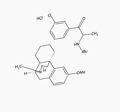 CC(NC(C)(C)C)C(=O)c1cccc(Cl)c1.COc1ccc2c(c1)[C@]13CCCC[C@@H]1[C@H](C2)N(C)CC3.Cl